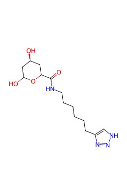 O=C(NCCCCCCc1c[nH]nn1)C1C[C@H](O)CC(O)O1